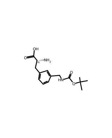 CC(C)(C)OC(=O)NCc1cccc(C[C@@H](N)C(=O)O)c1